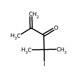 C=C(C)C(=O)C(C)(C)I